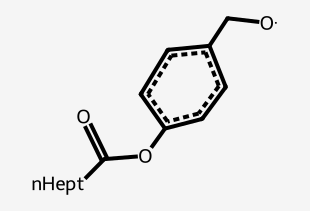 CCCCCCCC(=O)Oc1ccc(C[O])cc1